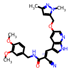 COc1ccc(CNC(=O)/C(C#N)=C/c2c[nH]c3ncc(OCc4cc(C)nn4C)cc23)cc1OC